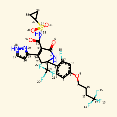 O=C1N[C@@](c2ccc(OCCCC(F)(F)F)cc2F)(C(F)(F)F)CC(c2cc[nH]n2)=C1C(=O)NS(=O)(=O)C1CC1